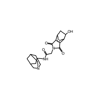 O=C(CN1C(=O)C2C3CC(O)C(O3)C2C1=O)NC12CC3CC(CN(C3)C1)C2